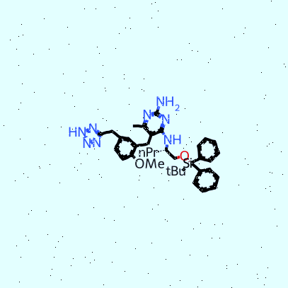 CCC[C@@H](CO[Si](c1ccccc1)(c1ccccc1)C(C)(C)C)Nc1nc(N)nc(C)c1Cc1cc(Cc2nn[nH]n2)ccc1OC